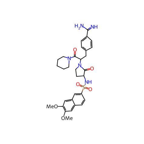 COc1cc2ccc(S(=O)(=O)NC3CCN(C(Cc4ccc(C(=N)N)cc4)C(=O)N4CCCCC4)C3=O)cc2cc1OC